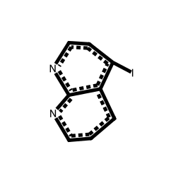 Ic1ccnc2ncccc12